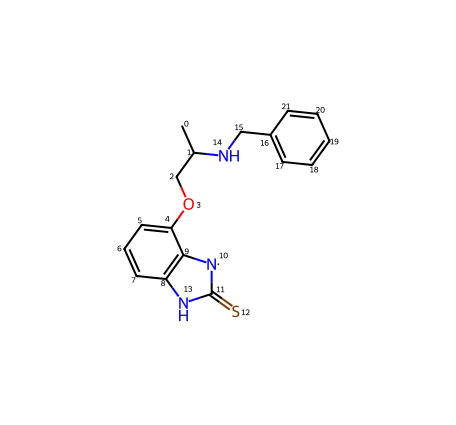 CC(COc1cccc2c1[N]C(=S)N2)NCc1ccccc1